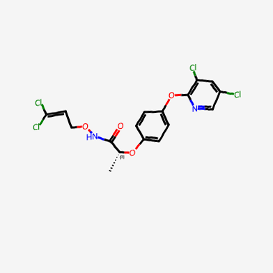 C[C@@H](Oc1ccc(Oc2ncc(Cl)cc2Cl)cc1)C(=O)NOCC=C(Cl)Cl